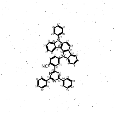 N#Cc1ccc(-n2c3ccccc3c3ccc4c(c5ccccc5n4-c4ccccc4)c32)cc1-c1nc(-c2ccccc2)nc(-c2ccccc2)n1